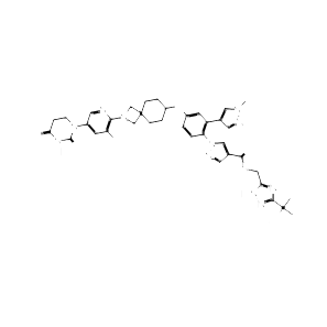 Cn1cc(-c2cc(OC3CCC4(CC3)CN(c3ncc(N5CCC(=O)NC5=O)cc3F)C4)ccc2-n2cc(C(=O)NCc3nc(C(C)(C)C(F)(F)F)n[nH]3)cn2)cn1